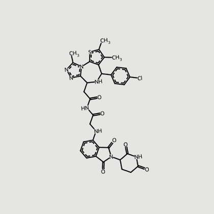 Cc1sc2c(c1C)C(c1ccc(Cl)cc1)NC(CC(=O)NC(=O)CNc1cccc3c1C(=O)N(C1CCC(=O)NC1=O)C3=O)c1nnc(C)n1-2